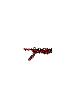 CCCCCCCCCCCCCC(=O)OCC(COC(=O)CCC(=O)OCC(=O)[C@H]1CCC2C1CC(O)C1[C@H]2CCC2=CC(=O)C=CC21C)OC(=O)CCCCCCCCCCCCC